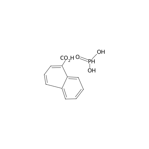 O=C(O)c1cccc2ccccc12.O=[PH](O)O